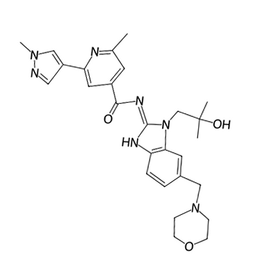 Cc1cc(C(=O)/N=c2\[nH]c3ccc(CN4CCOCC4)cc3n2CC(C)(C)O)cc(-c2cnn(C)c2)n1